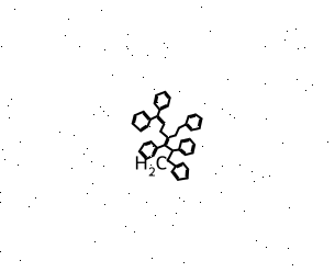 C=C(c1ccccc1)C(C(=C(CC=C(c1ccccc1)c1ccccc1)CCc1ccccc1)c1ccccc1)c1ccccc1